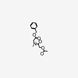 CC(=O)OCC(=O)N(C)CC(=O)OCc1ccccc1